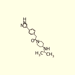 CC(C)NC1CCN(C(=O)Cc2ccc(-c3cn[nH]c3)cc2)CC1